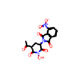 CC(=O)C1CC(N2C(=O)c3cccc([N+](=O)[O-])c3C2=O)C(=O)N(O)C1=O